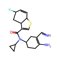 N=CC1=C(N)CCC(N(C(=O)C2=CSC3C=CC(F)CC23)C2CC2)C1